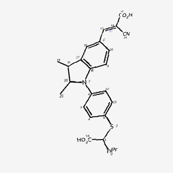 CCCC(Sc1ccc(N2c3ccc(/C=C(\C#N)C(=O)O)cc3C(C)C2C)cc1)C(=O)O